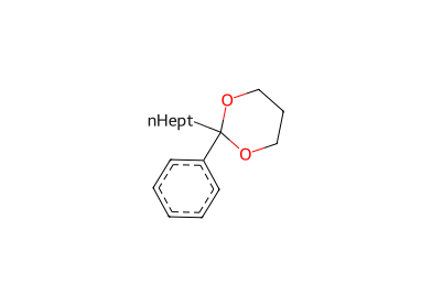 CCCCCCCC1(c2ccccc2)OCCCO1